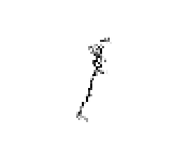 CCCCCCCCCCCCCCCCNc1ccc(CC(=O)NCC(O)CO)cc1